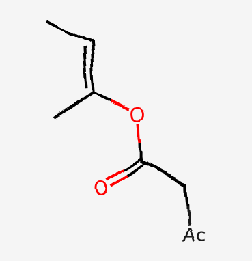 C/C=C(\C)OC(=O)CC(C)=O